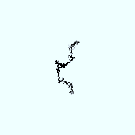 CC(CSCCCC(C)(C)c1cc(C(C)(C)C)cc(C(C)(C)CCCSCC(C)C(=O)OCCOP(=O)([O-])OCC[N+](C)(C)C)c1)C(=O)OCCOP(=O)([O-])OCC[N+](C)(C)C